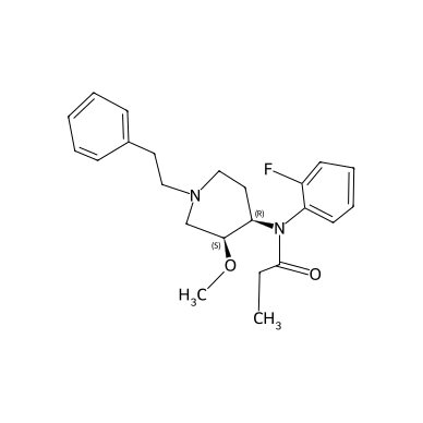 CCC(=O)N(c1ccccc1F)[C@@H]1CCN(CCc2ccccc2)C[C@@H]1OC